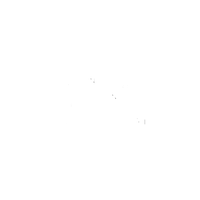 O=C(N[C@H]1CC[C@H](O)CC1)[C@H]1CCCN(c2cccc(OCc3ccccc3)c2)C1